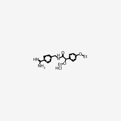 CCOc1ccc(C(OCC)C(=O)NCc2ccc(C(=N)N)cc2)cc1.Cl